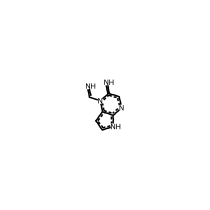 N=Cn1c(=N)cnc2[nH]ccc21